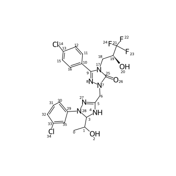 CC(O)C1NC(Cn2nc(-c3ccc(Cl)cc3)n(C[C@H](O)C(F)(F)F)c2=O)=NN1c1cccc(Cl)c1